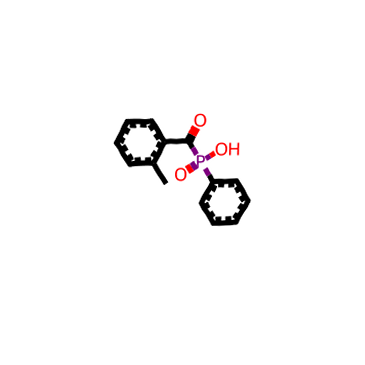 Cc1ccccc1C(=O)P(=O)(O)c1ccccc1